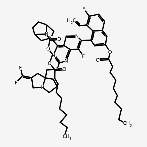 C=Cc1c(F)ccc2cc(OC(=O)CCCCCCCCC)cc(-c3ncc4c(N5CC6CCC(C5)N6C(=O)OCOC(=O)CCCCCCCCC)nc(OCC56CCCN5CC(=C(F)F)C6)nc4c3F)c12